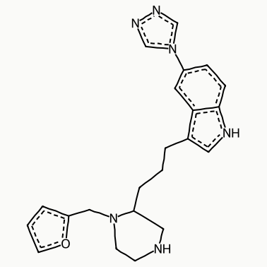 c1coc(CN2CCNCC2CCCc2c[nH]c3ccc(-n4cnnc4)cc23)c1